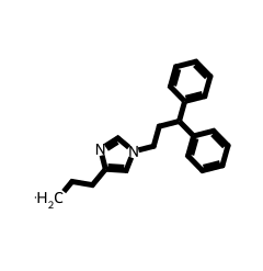 [CH2]CCc1cn(CCC(c2ccccc2)c2ccccc2)cn1